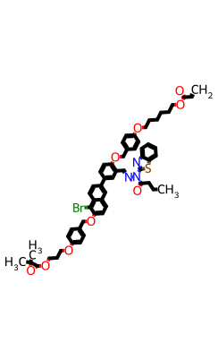 C=CC(=O)OCCCCCCOc1ccc(COc2ccc(-c3ccc4c(Br)c(OCc5ccc(OCCCOC6OC6(C)C)cc5)ccc4c3)cc2/C=N/N(C(=O)CCC)c2nc3ccccc3s2)cc1